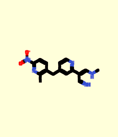 CN/C=C(\C=N)c1cc(Cc2ccc([N+](=O)[O-])nc2C)ccn1